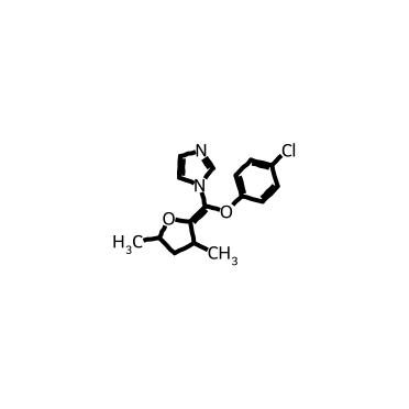 CC1CC(C)C(=C(Oc2ccc(Cl)cc2)n2ccnc2)O1